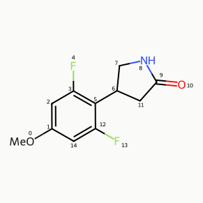 COc1cc(F)c(C2CNC(=O)C2)c(F)c1